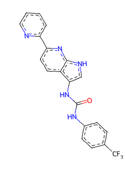 O=C(Nc1ccc(C(F)(F)F)cc1)Nc1c[nH]c2nc(-c3ccccn3)ccc12